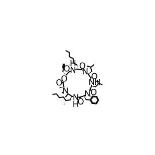 C#CC[C@H]1OC(=O)[C@H](C)N(C)C(C)[C@H](C[C@H](C)CCCC)NC(=O)[C@H](Cc2ccccc2)N(C)C(=O)[C@H](CC(C)C)NC(=O)[C@H](CC(C)C)N(C)C(=O)[C@H](C[C@H](C)CCCC)NC1=O